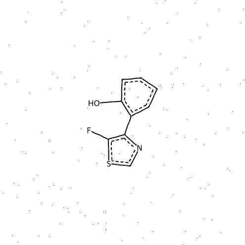 Oc1ccccc1-c1ncsc1F